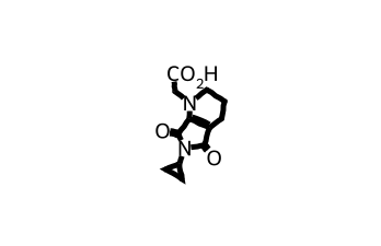 O=C(O)CN1CCCC2=C1C(=O)N(C1CC1)C2=O